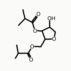 CC(C)C(=O)OCC1OCC(O)C1OC(=O)C(C)C